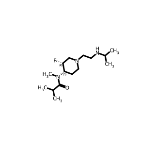 CC(C)NCCN1CC[C@H](N(C)C(=O)C(C)C)[C@H](F)C1